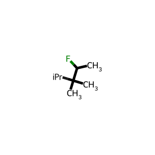 CC(C)C(C)(C)C(C)F